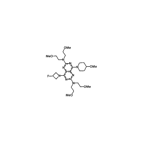 COCCN(CCOC)c1nc(N2CC(F)C2)c2nc(N(CCOC)CCOC)nc(N3CCC(OC)CC3)c2n1